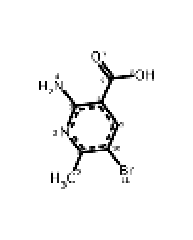 Cc1nc(N)c(C(=O)O)cc1Br